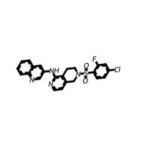 O=S(=O)(c1ccc(Cl)cc1F)N1CCc2c(ccnc2Nc2cnc3ccccc3c2)C1